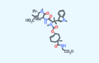 C/C(=C\[C@H](C(C)C)N(C)C(=O)[C@@H](NC(=O)[C@@H](N(C)C(=O)O[C@H]1/C=C/CC[C@@](C)(C(=O)NCC(=O)O)CC1)C(C)(C)c1cn(C)c2ccccc12)C(C)(C)C)C(=O)O